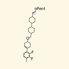 CCCCC/C=C/C1CCC(C2CCC(COC3CC=C(c4ccc(C)c(F)c4F)CC3)CC2)CC1